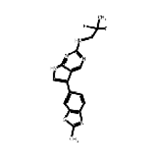 Cc1nc2ccc(-c3c[nH]c4nc(NCC(C)(F)F)ncc34)cc2s1